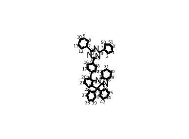 c1ccc(-c2nc(-c3ccccc3)nc(-c3ccc(-c4cccc5c4-n4c(nc6ccccc64)C5(c4ccccc4)c4ccccc4)cc3)n2)cc1